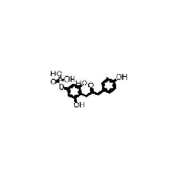 O=C(Cc1ccc(O)cc1)Cc1c(O)cc(OP(=O)(O)O)cc1O